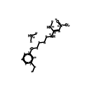 CCc1cccc(OCCCCNC(=C[N+](=O)[O-])NC)c1.CNC